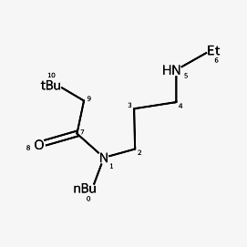 CCCCN(CCCNCC)C(=O)CC(C)(C)C